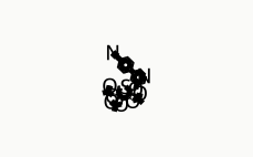 CC(=O)O[C@@H]1[C@@H](OC(C)=O)[C@H](OC(C)=O)CS[C@H]1Oc1cncc(-c2ccc(C#N)cc2)c1